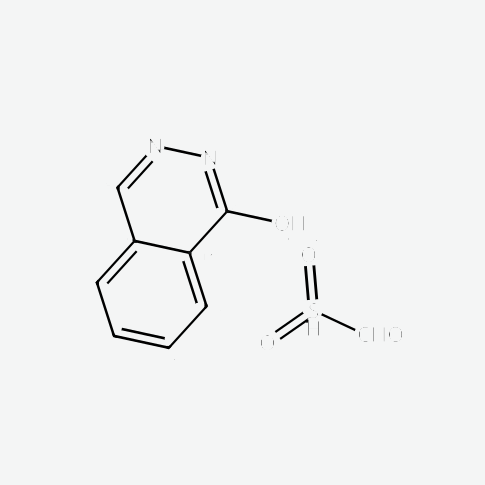 O=C[SH](=O)=O.Oc1nncc2ccccc12